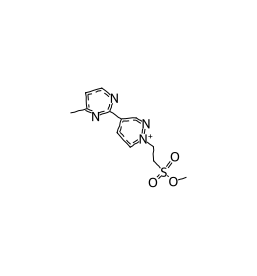 COS(=O)(=O)CC[n+]1ccc(-c2nccc(C)n2)cn1